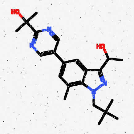 Cc1cc(-c2cnc(C(C)(C)O)nc2)cc2c(C(C)O)nn(CC(C)(C)C)c12